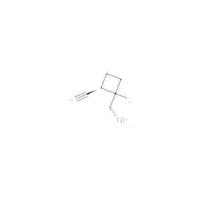 C#C[C@H]1CCC1(CC)CN